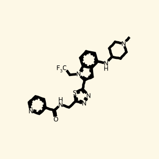 CN1CCC(Nc2cccc3c2cc(-c2nnc(CNC(=O)c4cccnc4)s2)n3CC(F)(F)F)CC1